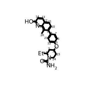 CCC1CC(Oc2ccc(-c3ccc4ccc(O)nc4c3C)cc2)CCN1C(N)=O